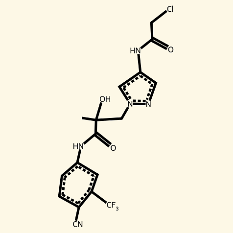 CC(O)(Cn1cc(NC(=O)CCl)cn1)C(=O)Nc1ccc(C#N)c(C(F)(F)F)c1